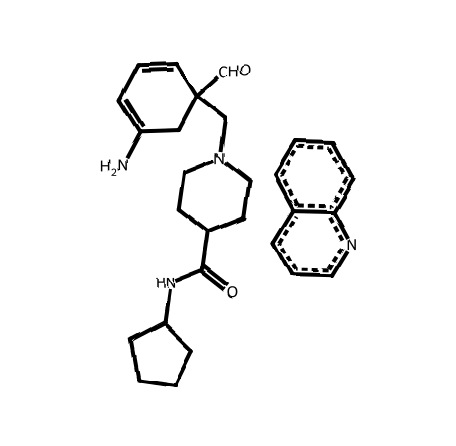 NC1=CC=CC(C=O)(CN2CCC(C(=O)NC3CCCC3)CC2)C1.c1ccc2ncccc2c1